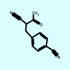 CC(=O)C(C#N)Cc1ccc(C#N)cc1